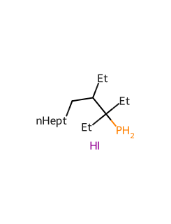 CCCCCCCCC(CC)C(P)(CC)CC.I